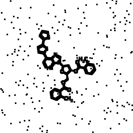 Cc1ccccc1C(=O)OC[C@H]1O[C@@H](n2cnc3c(-c4ccc(-c5cccs5)s4)ccnc32)C[C@@H]1OC(=O)c1ccccc1C